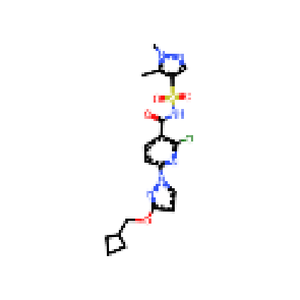 Cc1c(S(=O)(=O)NC(=O)c2ccc(-n3ccc(OCC4CCC4)n3)nc2Cl)cnn1C